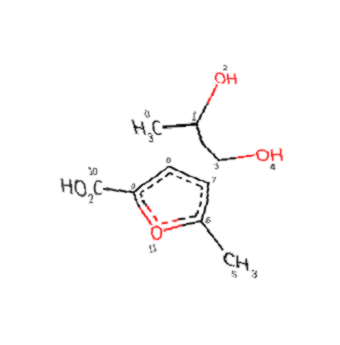 CC(O)CO.Cc1ccc(C(=O)O)o1